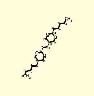 CCCC=C[C@H]1CO[C@H](CC[C@H]2CO[C@H](CCCCC)OC2)OC1